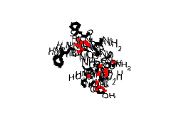 CCCC[C@@H](C(=O)N(C)[C@@H](CCCC)C(=O)N[C@@H](CCCN)C(=O)N[C@@H](CSCC(=O)N[C@@H](Cc1ccc(O)cc1)C(=O)N(C)[C@@H](C)C(=O)N[C@@H](CC(=O)O)C(=O)N1CCC[C@H]1C(=O)N[C@@H](CN)C(=O)N[C@@H](CC(=O)O)C(=O)N1C[C@H](O)C[C@H]1C(C)=O)C(=O)NCC(N)=O)N(C)C(=O)[C@H](Cc1csc2ccccc12)NC(=O)[C@H](CCN)NC(=O)[C@@H](N)Cc1c[nH]c2ccccc12